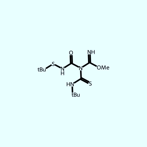 COC(=N)N(C(=O)NSC(C)(C)C)C(=S)NC(C)(C)C